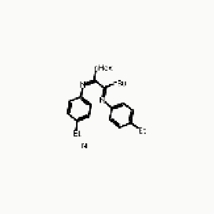 CCCCCCC(=Nc1ccc(CC)cc1)C(CCCC)=Nc1ccc(CC)cc1.[Ni]